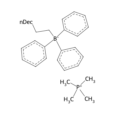 CCCCCCCCCCCC[B-](c1ccccc1)(c1ccccc1)c1ccccc1.C[P+](C)(C)C